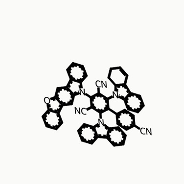 N#Cc1ccc(-c2c(-n3c4c(c5ccccc53)C=CCC4)c(C#N)c(-n3c4ccccc4c4cc5oc6ccccc6c5cc43)c(C#N)c2-n2c3ccccc3c3ccccc32)cc1